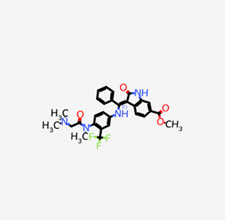 COC(=O)c1ccc2c(c1)NC(=O)/C2=C(/Nc1ccc(N(C)C(=O)CN(C)C)c(C(F)(F)F)c1)c1ccccc1